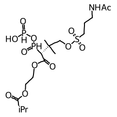 CC(=O)NCCCS(=O)(=O)OCC(C)(C)[C@H](C(=O)OCCOC(=O)C(C)C)[PH](=O)O[PH](=O)O